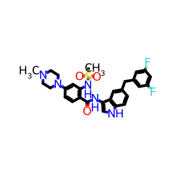 CN1CCN(c2ccc(C(=O)Nc3c[nH]c4ccc(Cc5cc(F)cc(F)c5)cc34)c(NS(C)(=O)=O)c2)CC1